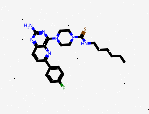 CCCCCCNC(=S)N1CCN(c2nc(N)nc3ccc(-c4ccc(F)cc4)nc23)CC1